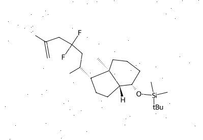 C=C(C)CC(F)(F)CC(C)[C@H]1CC[C@H]2[C@@H](O[Si](C)(C)C(C)(C)C)CCC[C@]12C